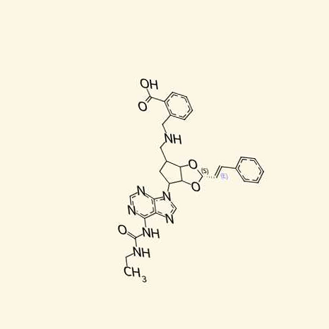 CCNC(=O)Nc1ncnc2c1ncn2C1CC(CNCc2ccccc2C(=O)O)C2O[C@H](/C=C/c3ccccc3)OC21